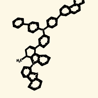 CC1CC=C(c2cccc(N(c3ccc(-c4ccccc4)cc3)c3ccc(-c4ccc5c(ccc6ccccc65)c4)cc3)c2)c2c1n(-c1cccc3c1sc1ccccc13)c1ccccc21